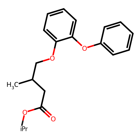 CC(COc1ccccc1Oc1ccccc1)CC(=O)OC(C)C